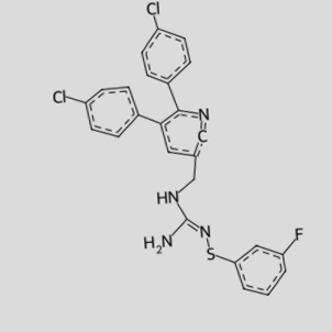 N/C(=N\Sc1cccc(F)c1)NCc1cnc(-c2ccc(Cl)cc2)c(-c2ccc(Cl)cc2)c1